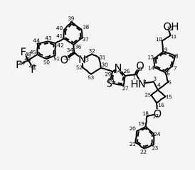 O=C(NCC1(Cc2ccc(CCO)cc2)CC(OCc2ccccc2)C1)c1csc(C2CCN(C(=O)c3ccccc3-c3ccc(C(F)(F)F)cc3)CC2)n1